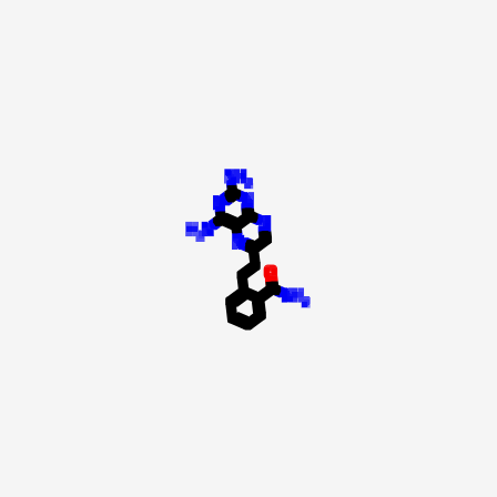 NC(=O)c1ccccc1CCc1cnc2nc(N)nc(N)c2n1